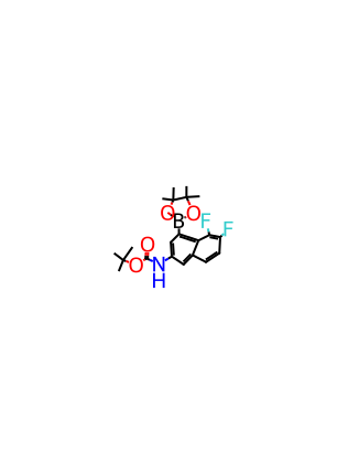 CC(C)(C)OC(=O)Nc1cc(B2OC(C)(C)C(C)(C)O2)c2c(F)c(F)ccc2c1